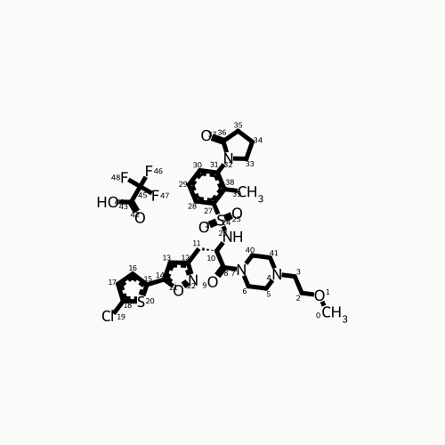 COCCN1CCN(C(=O)[C@H](Cc2cc(-c3ccc(Cl)s3)on2)NS(=O)(=O)c2cccc(N3CCCC3=O)c2C)CC1.O=C(O)C(F)(F)F